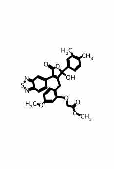 COC(=O)COc1cc(OC)ccc1CC1=C(c2ccc3nsnc3c2)C(=O)OC1(O)c1ccc(C)c(C)c1